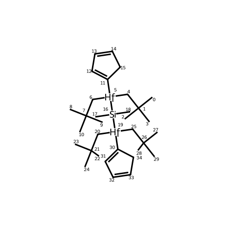 CC(C)(C)[CH2][Hf]([CH2]C(C)(C)C)([C]1=CC=CC1)[Si](C)(C)[Hf]([CH2]C(C)(C)C)([CH2]C(C)(C)C)[C]1=CC=CC1